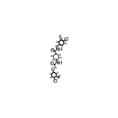 O=C(COc1ccc(Cl)c(F)c1)NC1CCC(C(=O)NCc2ccc(Cl)c(F)c2)CC1